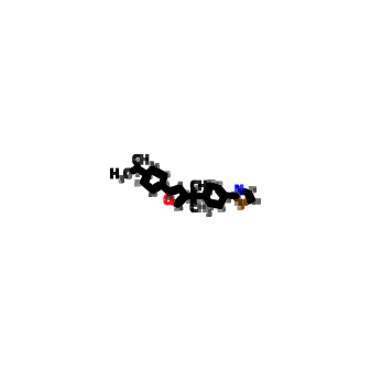 CC(C)c1ccc(-c2cc(C(C)(C)c3ccc(-c4nccs4)cc3)co2)cc1